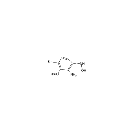 CC(C)COc1c(Br)ccc(NO)c1N